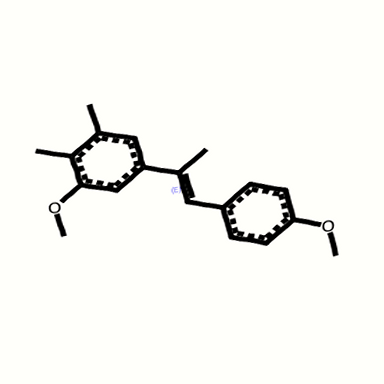 COc1ccc(/C=C(\C)c2cc(C)c(C)c(OC)c2)cc1